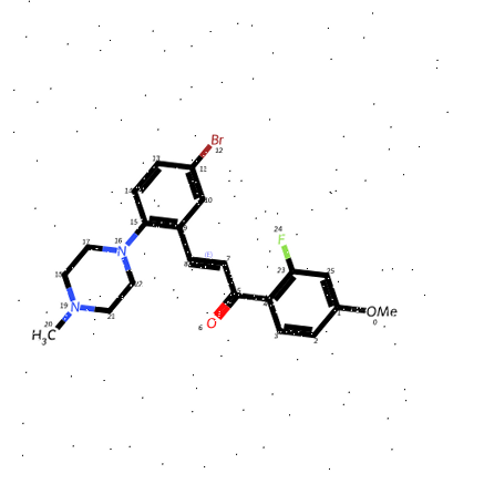 COc1ccc(C(=O)/C=C/c2cc(Br)ccc2N2CCN(C)CC2)c(F)c1